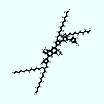 CCCCCCCCCCCCC(CCCCCCCCCC)Cc1cc(-c2cc3c(cc(-c4cc(CC(CCCCCCCCCC)CCCCCCCCCCCC)c(-c5ccc(-c6ccc(C)s6)s5)s4)c4nsnc43)c3nsnc23)sc1C